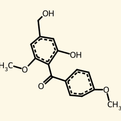 COc1ccc(C(=O)c2c(O)cc(CO)cc2OC)cc1